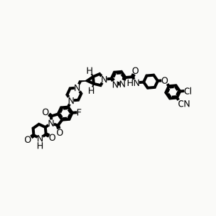 N#Cc1ccc(OC2CCC(NC(=O)c3ccc(N4C[C@@H]5[C@@H](CN6CCN(c7cc8c(cc7F)C(=O)N(C7CCC(=O)NC7=O)C8=O)CC6)[C@@H]5C4)nn3)CC2)cc1Cl